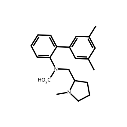 Cc1cc(C)cc(-c2ccccc2N(CC2CCCN2C)C(=O)O)c1